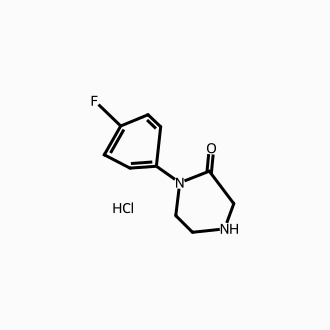 Cl.O=C1CNCCN1c1ccc(F)cc1